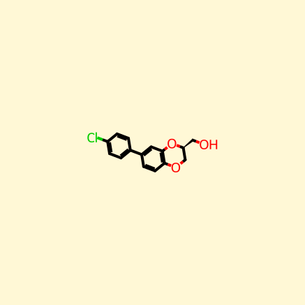 OC[C@H]1COc2ccc(-c3ccc(Cl)cc3)cc2O1